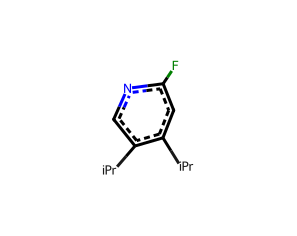 CC(C)c1cnc(F)cc1C(C)C